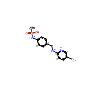 CC(C)(C)S(=O)(=O)Nc1ccc(CNc2ccc(C(F)(F)F)cn2)cc1